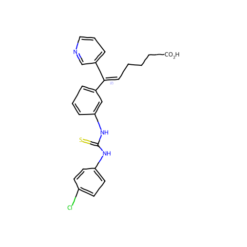 O=C(O)CCC/C=C(\c1cccnc1)c1cccc(NC(=S)Nc2ccc(Cl)cc2)c1